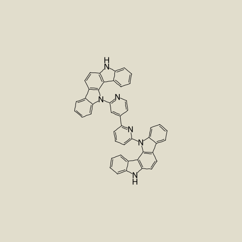 c1cc(-c2ccnc(-n3c4ccccc4c4ccc5[nH]c6ccccc6c5c43)c2)nc(-n2c3ccccc3c3ccc4[nH]c5ccccc5c4c32)c1